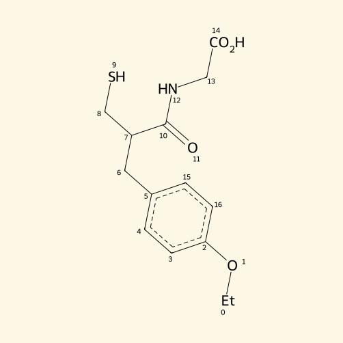 CCOc1ccc(CC(CS)C(=O)NCC(=O)O)cc1